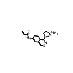 C=CC(=O)Nc1ccc2c(N3CC[C@@H](N)C3)nncc2c1